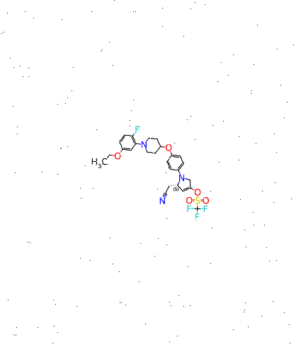 CCOc1ccc(F)c(N2CCC(Oc3ccc(N4CC(OS(=O)(=O)C(F)(F)F)=C[C@@H]4CC#N)cc3)CC2)c1